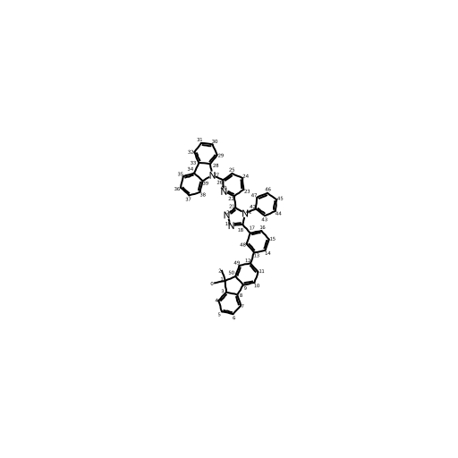 CC1(C)c2ccccc2-c2ccc(-c3cccc(-c4nnc(-c5cccc(-n6c7ccccc7c7ccccc76)n5)n4-c4ccccc4)c3)cc21